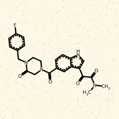 CN(C)C(=O)C(=O)c1c[nH]c2ccc(C(=O)N3CCN(Cc4ccc(F)cc4)C(=O)C3)cc12